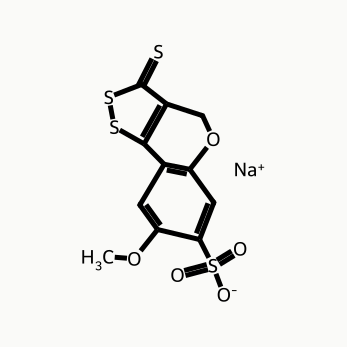 COc1cc2c(cc1S(=O)(=O)[O-])OCc1c-2ssc1=S.[Na+]